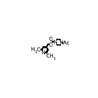 CC(=O)N1CCN(C(=O)OCc2cc(C)nc(C)c2)CC1